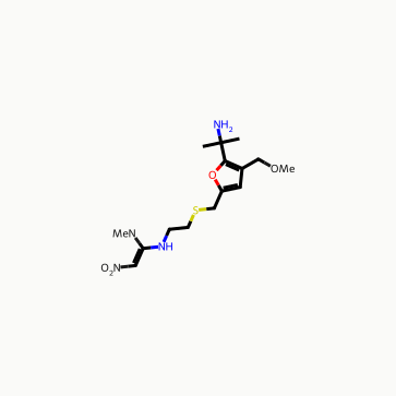 CN/C(=C\[N+](=O)[O-])NCCSCc1cc(COC)c(C(C)(C)N)o1